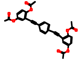 CC(=O)Oc1ccc(OC(C)=O)c(C#Cc2ccc(C#Cc3cc(OC(C)=O)ccc3OC(C)=O)cc2)c1